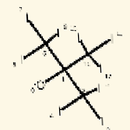 [O]C(C(I)(I)I)(C(I)(I)I)C(I)(I)I